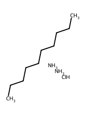 CCCCCCCCCC.Cl.N.N